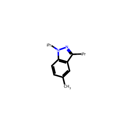 Cc1ccc2c(c1)c(C(C)C)nn2C(C)C